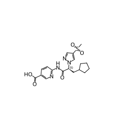 CS(=O)(=O)c1cnn([C@@H](CC2CCCC2)C(=O)Nc2ccc(C(=O)O)cn2)c1